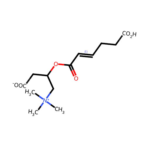 C[N+](C)(C)CC(CC(=O)[O-])OC(=O)/C=C/CCC(=O)O